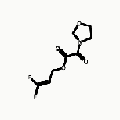 O=C(OCC=C(F)F)C(=O)N1CCOC1